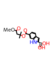 COC(=O)CC(C)(C)OC(=O)c1ccc2cc(B(O)O)[nH]c2c1